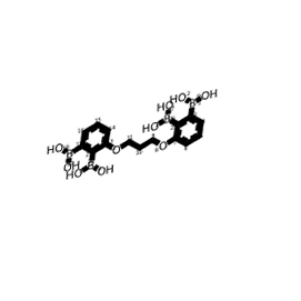 OB(O)c1cccc(OCCCOc2cccc(B(O)O)c2B(O)O)c1B(O)O